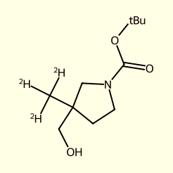 [2H]C([2H])([2H])C1(CO)CCN(C(=O)OC(C)(C)C)C1